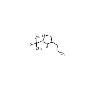 CCCC1CNN(C(C)(C)C)N1